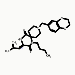 CCCCN1C(=O)/C(=C/C(C)C)NC(=O)C12CCN(Cc1ccc3c(c1)OCCO3)CC2